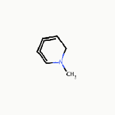 CN1C=C=C=CC1